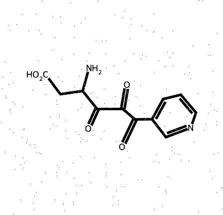 NC(CC(=O)O)C(=O)C(=O)C(=O)c1cccnc1